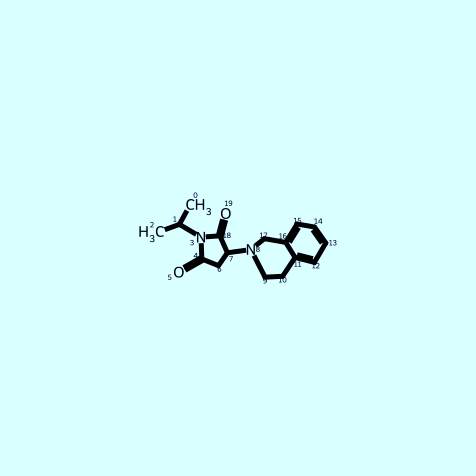 CC(C)N1C(=O)CC(N2CCc3ccccc3C2)C1=O